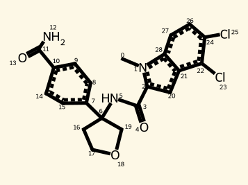 Cn1c(C(=O)NC2(c3ccc(C(N)=O)cc3)CCOC2)cc2c(Cl)c(Cl)ccc21